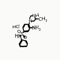 CC1CN(c2ccc(S(=O)(=O)Nc3ccccc3)cc2N)CCN1.Cl